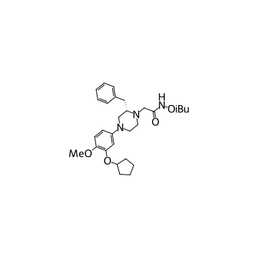 COc1ccc(N2CCN(CC(=O)NOCC(C)C)[C@@H](Cc3ccccc3)C2)cc1OC1CCCC1